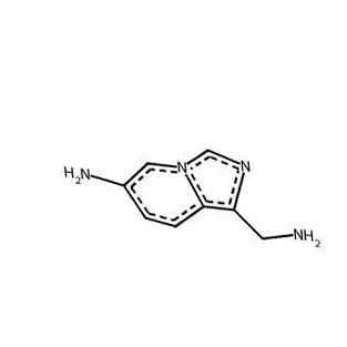 NCc1ncn2cc(N)ccc12